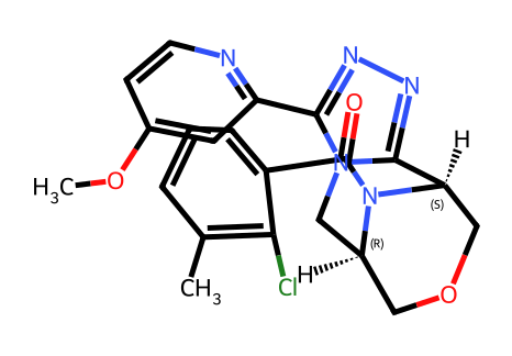 COc1ccnc(-c2nnc3n2C[C@@H]2COC[C@H]3N2C(=O)c2cccc(C)c2Cl)c1